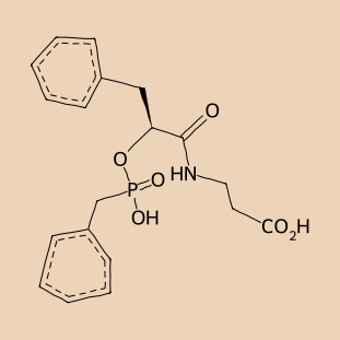 O=C(O)CCNC(=O)[C@H](Cc1ccccc1)OP(=O)(O)Cc1ccccc1